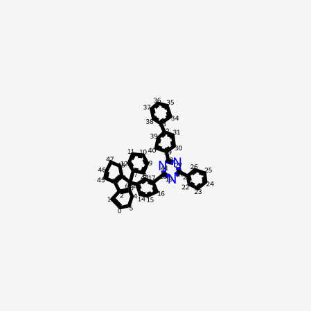 C1=CC2=C(CC1)C(c1ccccc1)(c1cccc(-c3nc(-c4ccccc4)nc(-c4ccc(-c5ccccc5)cc4)n3)c1)C1=C2C=CCC1